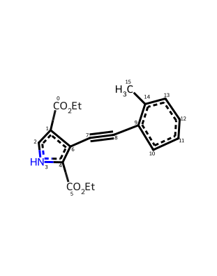 CCOC(=O)c1c[nH]c(C(=O)OCC)c1C#Cc1ccccc1C